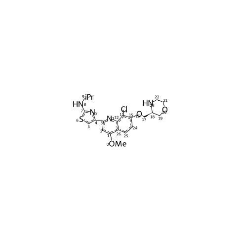 COc1cc(-c2csc(NC(C)C)n2)nc2c(Cl)c(OC[C@@H]3COCCN3)ccc12